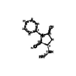 CCCNC1CC(=O)N(c2ccccc2)C1=O